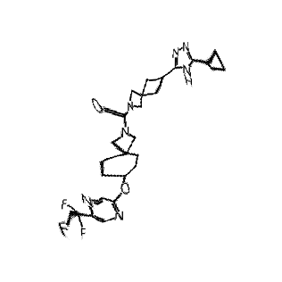 O=C(N1CC2(CCC(Oc3cnc(C(F)(F)F)cn3)CC2)C1)N1CC2(CC(c3nnc(C4CC4)[nH]3)C2)C1